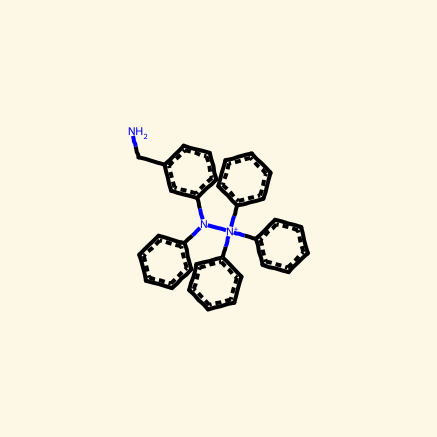 NCc1cccc(N(c2ccccc2)[N+](c2ccccc2)(c2ccccc2)c2ccccc2)c1